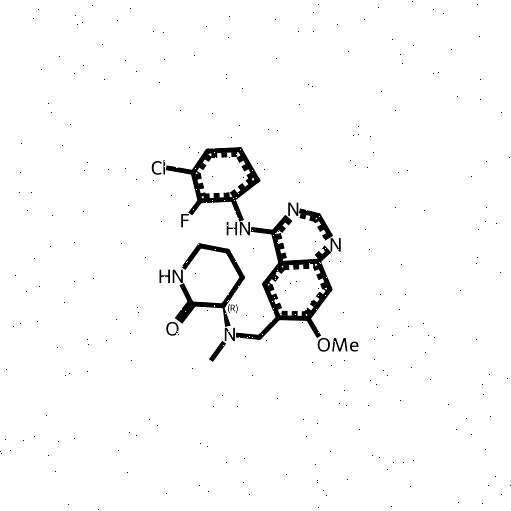 COc1cc2ncnc(Nc3cccc(Cl)c3F)c2cc1CN(C)[C@@H]1CCCNC1=O